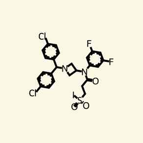 O=C(CCS(=O)(=O)I)N(c1cc(F)cc(F)c1)C1CN(C(c2ccc(Cl)cc2)c2ccc(Cl)cc2)C1